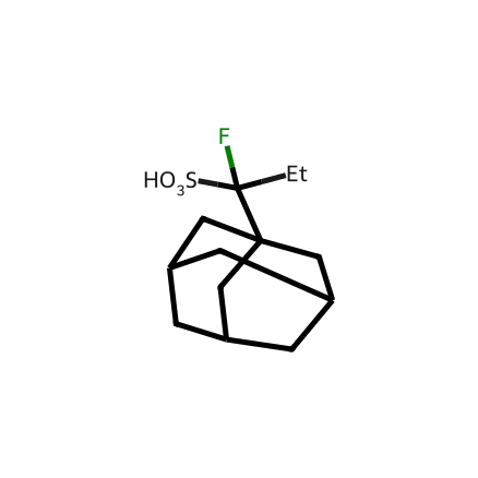 CCC(F)(C12CC3CC(CC(C3)C1)C2)S(=O)(=O)O